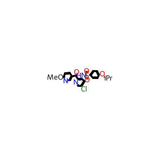 COc1ccc(C(=O)c2ncc(Cl)cc2NS(=O)(=O)c2ccc(OC(C)C)cc2)cn1